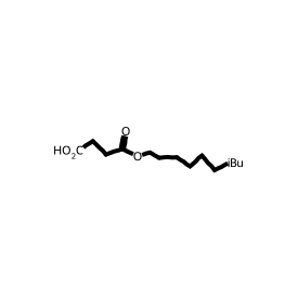 CCC(C)CCCCCCOC(=O)CCC(=O)O